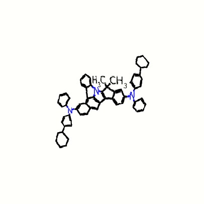 CC1(C)c2cc(N(c3ccccc3)c3ccc(C4CCCCC4)cc3)ccc2-c2c1n1c3ccccc3c3c4cc(N(c5ccccc5)c5ccc(C6CCCCC6)cc5)ccc4cc2c31